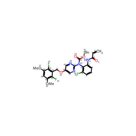 C=CC(=O)Nc1cccc(F)c1N(C(=O)OC(C)(C)C)c1ncc(OCc2c(F)c(OC)cc(OC)c2F)cn1